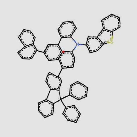 c1ccc(C2(c3ccccc3)c3ccccc3-c3ccc(-c4ccc(N(c5ccc6sc7ccccc7c6c5)c5ccccc5-c5cccc(-c6cccc7ccccc67)c5)cc4)cc32)cc1